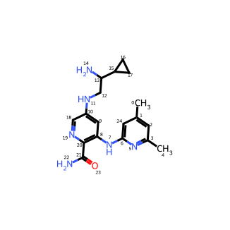 Cc1cc(C)nc(Nc2cc(NCC(N)C3CC3)cnc2C(N)=O)c1